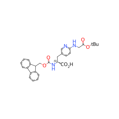 CC(C)(C)OC(=O)CNc1ccc(C[C@H](NC(=O)OCC2c3ccccc3-c3ccccc32)C(=O)O)cn1